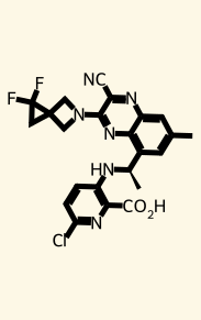 Cc1cc([C@@H](C)Nc2ccc(Cl)nc2C(=O)O)c2nc(N3CC4(C3)CC4(F)F)c(C#N)nc2c1